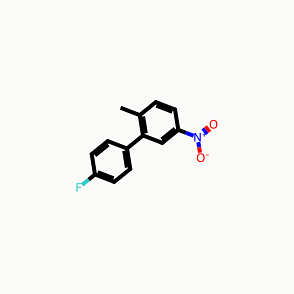 Cc1ccc([N+](=O)[O-])cc1-c1ccc(F)cc1